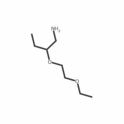 CCOCCOC(CC)CN